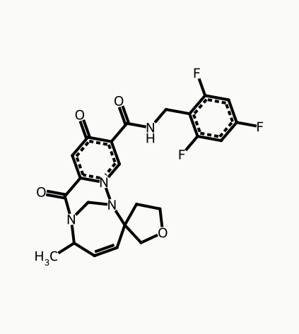 CC1C=CC2(CCOC2)N2CN1C(=O)c1cc(=O)c(C(=O)NCc3c(F)cc(F)cc3F)cn12